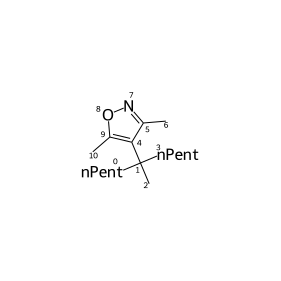 CCCCCC(C)(CCCCC)c1c(C)noc1C